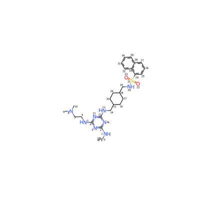 CC(C)Nc1nc(NCCN(C)C)nc(NCC2CCC(CNS(=O)(=O)c3cccc4ccccc34)CC2)n1